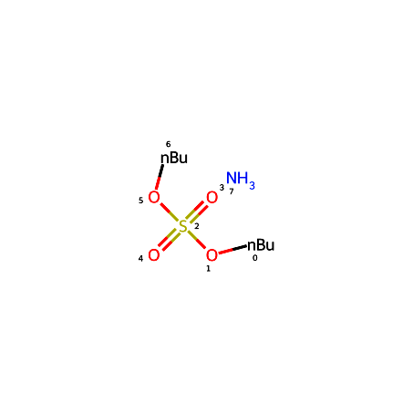 CCCCOS(=O)(=O)OCCCC.N